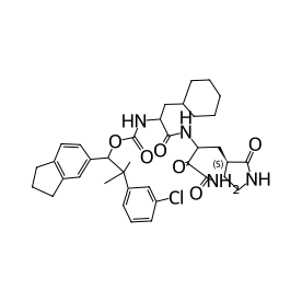 CC(C)(c1cccc(Cl)c1)C(OC(=O)NC(CC1CCCCC1)C(=O)NC(C[C@@H]1CCNC1=O)C(=O)C(N)=O)c1ccc2c(c1)CCC2